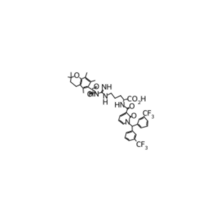 Cc1c(C)c(S(=O)(=O)NC(=N)NCCC[C@H](NC(=O)c2cccn(C(c3cccc(C(F)(F)F)c3)c3cccc(C(F)(F)F)c3)c2=O)C(=O)O)c(C)c2c1OC(C)(C)CC2